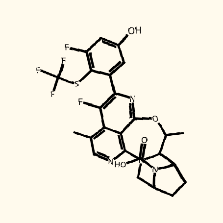 Cc1cnc2c3c(nc(-c4cc(O)cc(F)c4SC(F)(F)F)c(F)c13)OC(C)C1C3CCC(CN21)N3C(=O)O